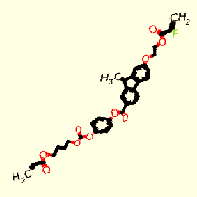 C=CC(=O)OCCCCOC(=O)Oc1ccc(OC(=O)c2ccc3c(c2)C(C)c2cc(OCCOC(=O)C(=C)F)ccc2-3)cc1